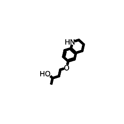 CC(O)CCOc1ccc2c(c1)CCCN2